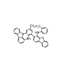 Cc1cc(-c2ccc3c(sc4ccccc43)c2Nc2ccccc2C)c2c(c1)-n1c3ccccc3c3cccc(c31)B2